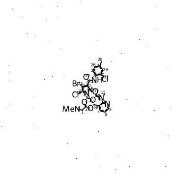 CNCC(=O)OCc1cccnc1N(C)C(=O)OCn1nc(C(=O)Nc2ccc(C)cc2Cl)c(Br)c1Cl